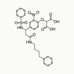 O=C(CC(NS(=O)(=O)c1ccccc1)c1ccc(OC(C(=O)O)C(=O)O)c([N+](=O)[O-])c1)NCCCCc1ccccc1